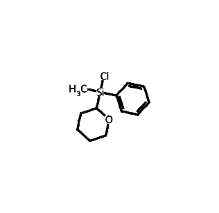 C[Si](Cl)(c1ccccc1)C1CCCCO1